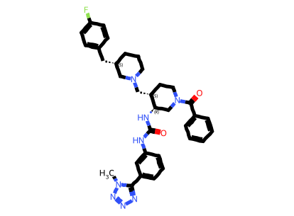 Cn1nnnc1-c1cccc(NC(=O)N[C@H]2CN(C(=O)c3ccccc3)CC[C@H]2CN2CCC[C@@H](Cc3ccc(F)cc3)C2)c1